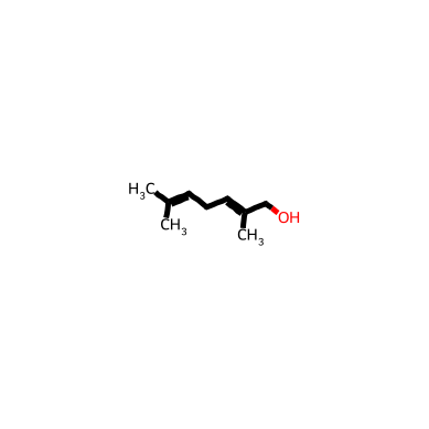 CC(C)=CC/C=C(\C)CO